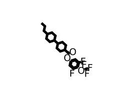 CCCC1CCC(C2CCC(C(=O)Oc3cc(F)c(OC(F)(F)F)c(F)c3)CC2)CC1